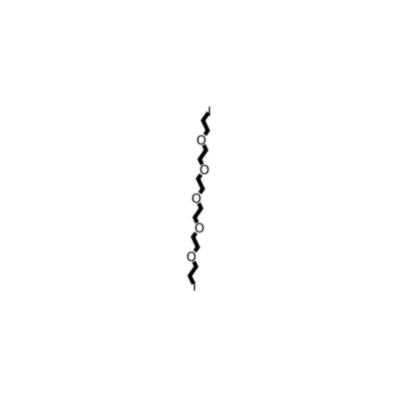 ICCOCCOCCOCCOCCOCCI